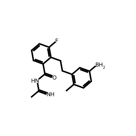 Bc1ccc(C)c(CCc2c(F)cccc2C(=O)NC(C)=N)c1